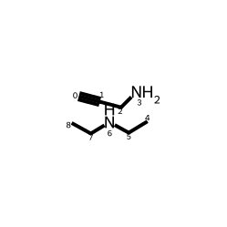 C#CCN.CCNCC